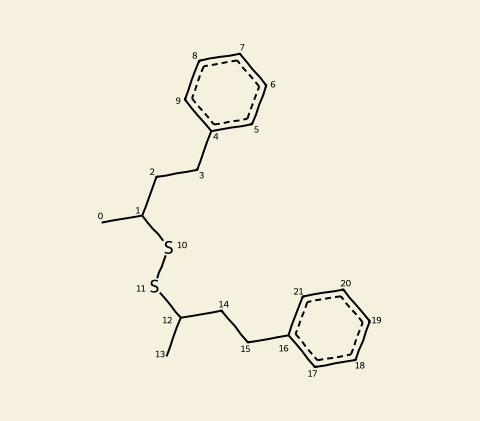 CC(CCc1ccccc1)SSC(C)CCc1ccccc1